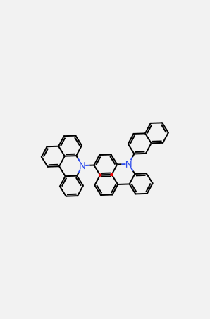 c1ccc(-c2ccccc2N(c2ccc(N3c4ccccc4-c4cccc5cccc3c45)cc2)c2ccc3ccccc3c2)cc1